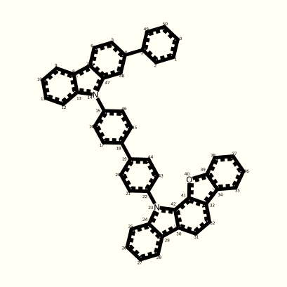 c1ccc(-c2ccc3c4ccccc4n(-c4ccc(-c5ccc(-n6c7ccccc7c7ccc8c9ccccc9oc8c76)cc5)cc4)c3c2)cc1